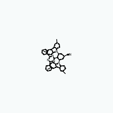 Cc1ccc2c(c1)c1cc(C)ccc1n2-c1cc(C#N)cc(-n2c3ccc(C)cc3c3cc(C)ccc32)c1-c1nc(-c2ccccc2)nc(-c2ccccc2)n1